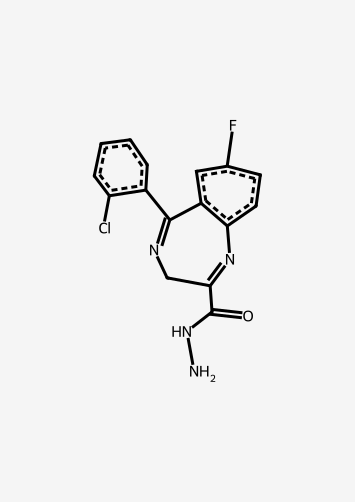 NNC(=O)C1=Nc2ccc(F)cc2C(c2ccccc2Cl)=NC1